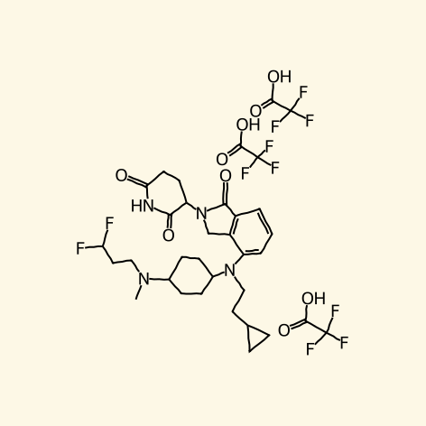 CN(CCC(F)F)C1CCC(N(CCC2CC2)c2cccc3c2CN(C2CCC(=O)NC2=O)C3=O)CC1.O=C(O)C(F)(F)F.O=C(O)C(F)(F)F.O=C(O)C(F)(F)F